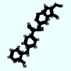 CCc1nc2ccc(NC(=O)c3ccc(Oc4ncccc4F)cc3)cn2c1C